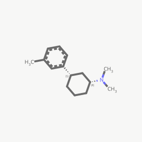 Cc1cccc([C@H]2CCC[C@@H](N(C)C)C2)c1